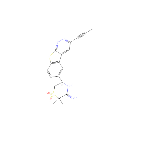 CC#Cc1cc2c(nn1)sc1ccc([C@]3(C)CS(=O)(=O)C(C)(C)C(=N)N3)cc12